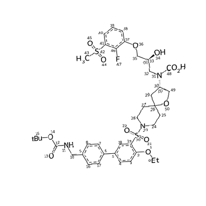 CCOc1ccc(-c2ccc(CNC(=O)OC(C)(C)C)cc2)cc1S(=O)(=O)N1CCC2(CC1)C[C@H](N(C[C@H](O)COc1cccc(S(C)(=O)=O)c1F)C(=O)O)CO2